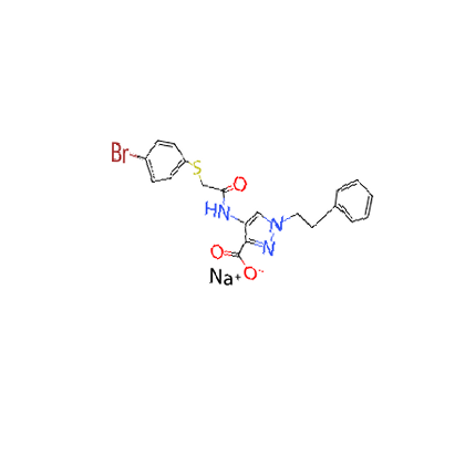 O=C(CSc1ccc(Br)cc1)Nc1cn(CCc2ccccc2)nc1C(=O)[O-].[Na+]